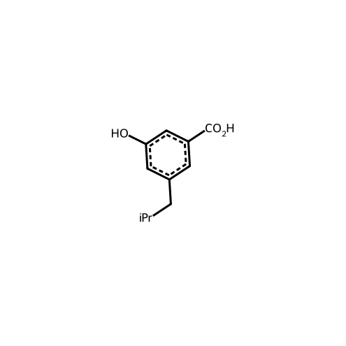 CC(C)Cc1cc(O)cc(C(=O)O)c1